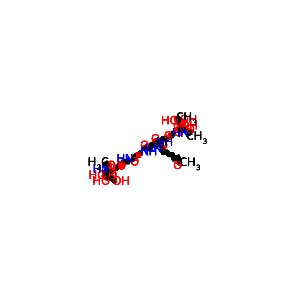 CC(=O)CCCCCCC(=O)NC(CCC(=O)NCCCC(=O)NCCOCCOC1OC(CO)C(O)C(O)C1NC(C)=O)C(=O)NCCOCCOC(OC(CO)C(C)O)C(O)NC(C)=O